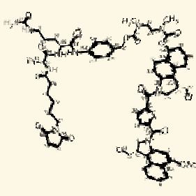 CC(=O)Oc1cc2c(c3ccccc13)[C@H](CCl)CN2C(=O)c1ccc(C(=O)N2C[C@@H](CCl)c3c2ccc2c(OC(=O)N(C)CCN(C)C(=O)OCc4ccc(NC(=O)[C@H](CCCNC(N)=O)NC(=O)[C@@H](NC(=O)CCCCCN5C(=O)C=CC5=O)C(C)C)cc4)cccc32)s1